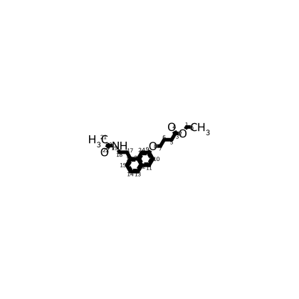 CCOC(=O)CCCOc1ccc2cccc(CCNC(C)=O)c2c1